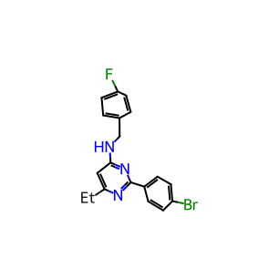 CCc1cc(NCc2ccc(F)cc2)nc(-c2ccc(Br)cc2)n1